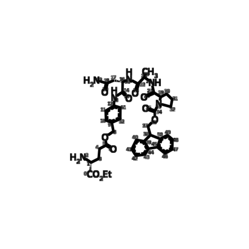 CCOC(=O)[C@H](N)CCC(=O)OCc1ccc(NC(=O)[C@H](CC(N)=O)NC(=O)[C@H](C)NC(=O)C2CCCN2C(=O)OCC2c3ccccc3-c3ccccc32)cc1